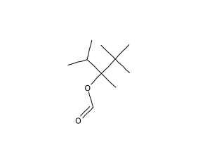 CC(C)C(C)(OC=O)C(C)(C)C